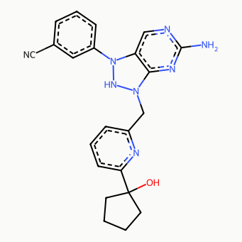 N#Cc1cccc(N2NN(Cc3cccc(C4(O)CCCC4)n3)c3nc(N)ncc32)c1